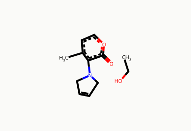 CCO.Cc1ccoc(=O)c1N1CC=CC1